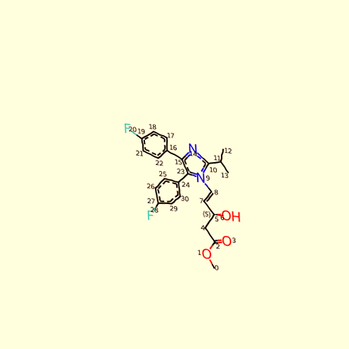 COC(=O)C[C@H](O)C=Cn1c(C(C)C)nc(-c2ccc(F)cc2)c1-c1ccc(F)cc1